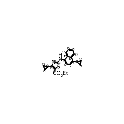 CCOC(=O)c1sc(Nc2ccc(C3CC3)c3ccccc23)nc1C1CC1